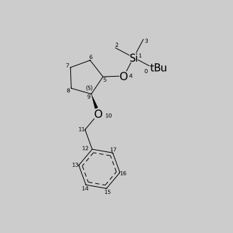 CC(C)(C)[Si](C)(C)OC1CCC[C@@H]1OCc1ccccc1